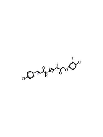 O=C(/C=C/c1ccc(Cl)cc1)NC12CC(NC(=O)COc3ccc(Cl)c(F)c3)(C1)C2